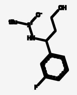 CC(C)(C)[S+]([O-])NC(CCO)c1cccc(F)c1